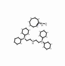 C1CCC(P(CCNCCP(C2CCCCC2)C2CCCCC2)C2CCCCC2)CC1.[Cl][IrH]/[C]1=C/CCCCCC1